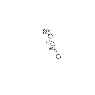 CCC1(c2cccc(NS(C)(=O)=O)c2)C2CN(C[C@]3(O)C[C@H](c4ccccc4)C3)CC21